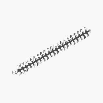 OC(F)(F)C(F)(F)C(F)(F)C(F)(F)C(F)(F)C(F)(F)C(F)(F)C(F)(F)C(F)(F)C(F)(F)C(F)(F)C(F)(F)C(F)(F)C(F)(F)C(F)(F)C(F)(F)C(F)(F)C(F)(F)C(F)(F)C(F)(F)C(F)(F)F